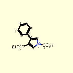 CCOC(=O)c1cn(C(=O)O)cc1-c1ccccc1